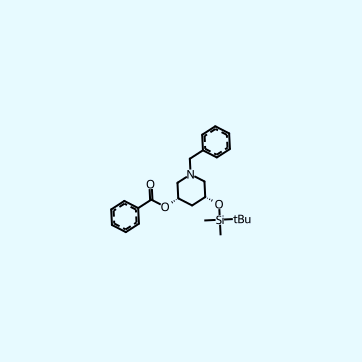 CC(C)(C)[Si](C)(C)O[C@@H]1C[C@H](OC(=O)c2ccccc2)CN(Cc2ccccc2)C1